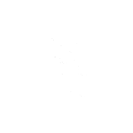 O=C(O)C(CSc1ccc([N+](=O)[O-])cc1[N+](=O)[O-])Nc1ccc([N+](=O)[O-])cc1[N+](=O)[O-]